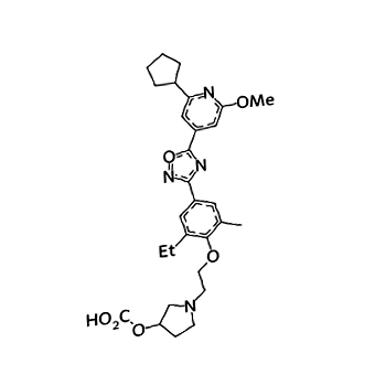 CCc1cc(-c2noc(-c3cc(OC)nc(C4CCCC4)c3)n2)cc(C)c1OCCN1CCC(OC(=O)O)C1